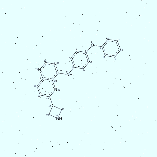 c1ccc(Oc2ccc(Nc3ncnc4ccc(C5CNC5)nc34)cc2)cc1